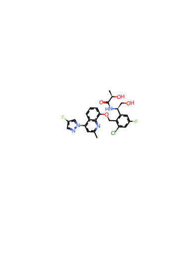 Cc1cc(-n2cc(F)cn2)c2cccc(OCc3c(Cl)cc(F)cc3[C@H](CO)NC(=O)[C@@H](C)O)c2n1